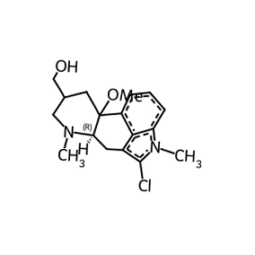 COC12CC(CO)CN(C)[C@@H]1Cc1c(Cl)n(C)c3cccc2c13